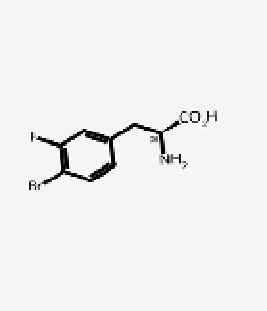 N[C@@H](Cc1ccc(Br)c(F)c1)C(=O)O